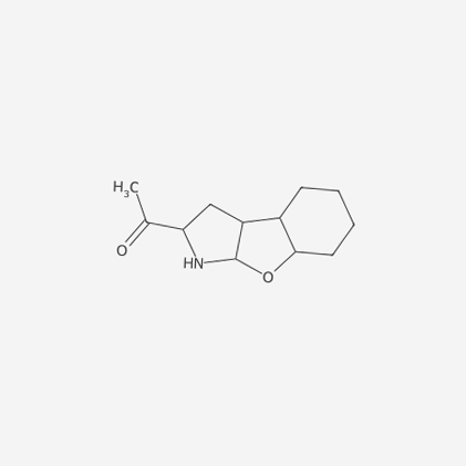 CC(=O)C1CC2C(N1)OC1CCCCC12